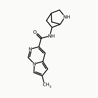 Cc1cc2cc(C(=O)NC3CC4CNC3C4)ncn2c1